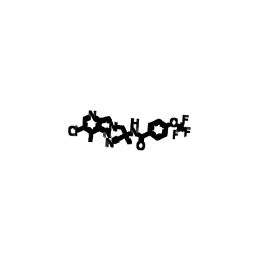 Cc1c(Cl)cnc2cn(CC(C)(C#N)NC(=O)c3ccc(OC(F)(F)F)cc3)nc12